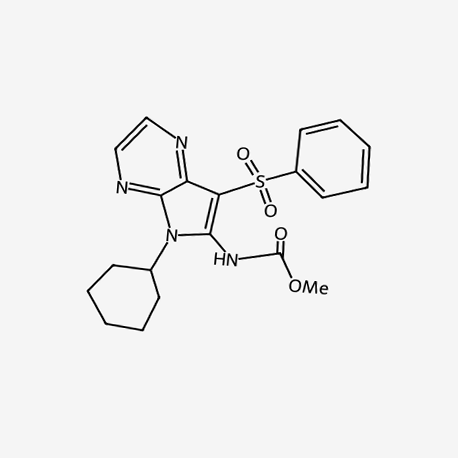 COC(=O)Nc1c(S(=O)(=O)c2ccccc2)c2nccnc2n1C1CCCCC1